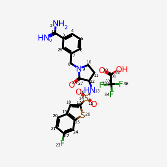 N=C(N)c1cccc(CN2CCC(NS(=O)(=O)c3cc4ccc(F)cc4s3)C2=O)c1.O=C(O)C(F)(F)F